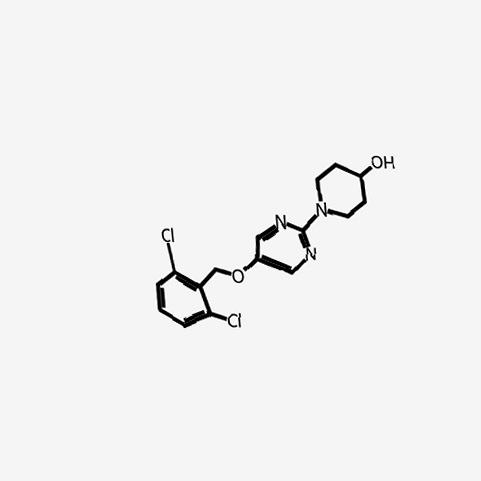 OC1CCN(c2ncc(OCc3c(Cl)cccc3Cl)cn2)CC1